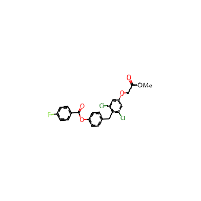 COC(=O)COc1cc(Cl)c(Cc2ccc(OC(=O)c3ccc(F)cc3)cc2)c(Cl)c1